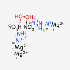 N.N.N.O=S(=O)(O)O.O=[N+]([O-])O.[Mg+2].[Mg+2].[Mg+2].[N-3].[N-3]